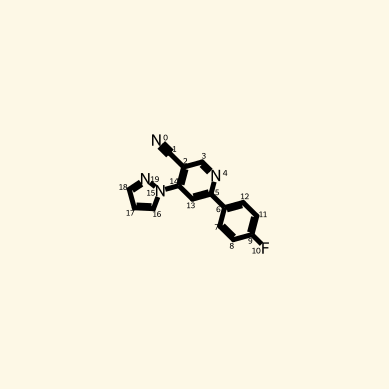 N#Cc1cnc(-c2ccc(F)cc2)cc1-n1cccn1